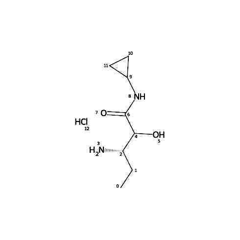 CC[C@H](N)C(O)C(=O)NC1CC1.Cl